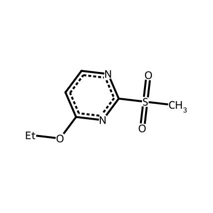 CCOc1ccnc(S(C)(=O)=O)n1